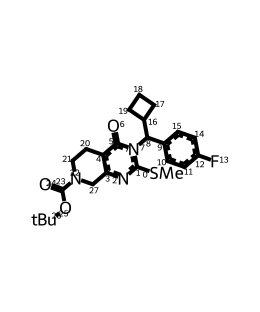 CSc1nc2c(c(=O)n1C(c1ccc(F)cc1)C1CCC1)CCN(C(=O)OC(C)(C)C)C2